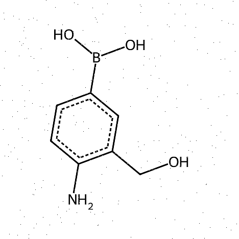 Nc1ccc(B(O)O)cc1CO